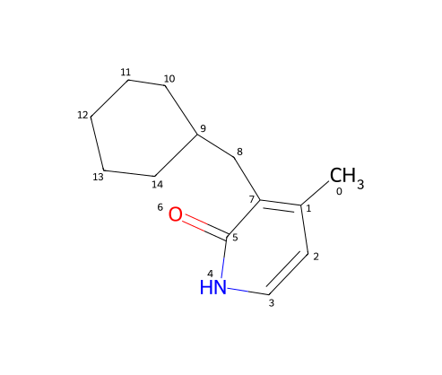 Cc1cc[nH]c(=O)c1CC1CCCCC1